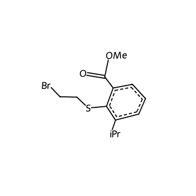 COC(=O)c1cccc(C(C)C)c1SCCBr